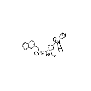 CN(CC(N)c1ccc(C(=O)Nc2ccncc2)cc1)C(=O)Cc1ccc2ccccc2c1